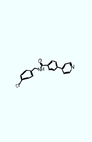 O=C(NCc1ccc(Cl)cc1)c1ccc(-c2ccncc2)cc1